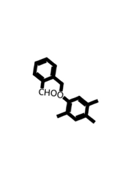 Cc1cc(C)c(OCc2ccccc2C=O)cc1C